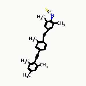 Cc1cc(C)c(C#Cc2ccc(C#Cc3cc(C)c(N=C=S)c(C)c3)c(C)c2)c(C)c1